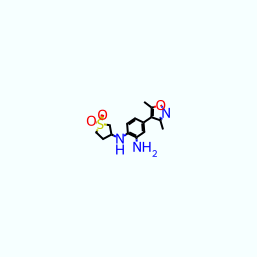 Cc1noc(C)c1-c1ccc(NC2CCS(=O)(=O)C2)c(N)c1